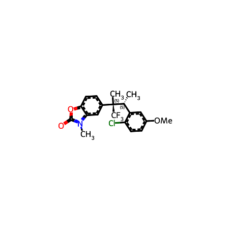 COc1ccc(Cl)c([C@@H](C)[C@@](C)(c2ccc3oc(=O)n(C)c3c2)C(F)(F)F)c1